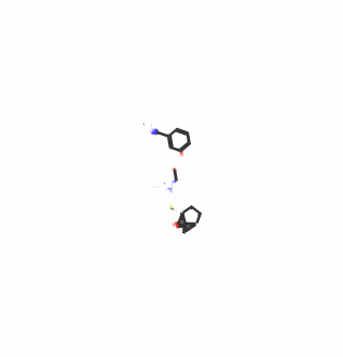 CC1(C)C2CC[C@@]1(CS(=O)(=O)NCCOc1cccc(C#N)c1)C(=O)C2